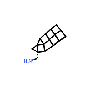 NC[C@]12CC13C1C4C5CC6CC7C8C2C13C48C657